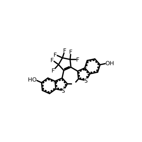 Cc1sc2cc(O)ccc2c1C1=C(c2c(C)sc3ccc(O)cc23)C(F)(F)C(F)(F)C1(F)F